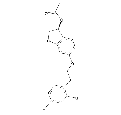 CC(=O)O[C@@H]1COc2cc(OCCc3ccc(Cl)cc3Cl)ccc21